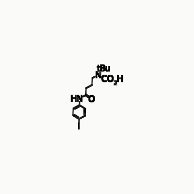 CC(C)(C)N(CCCC(=O)Nc1ccc(I)cc1)C(=O)O